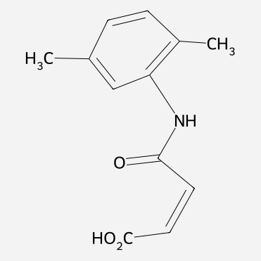 Cc1ccc(C)c(NC(=O)/C=C\C(=O)O)c1